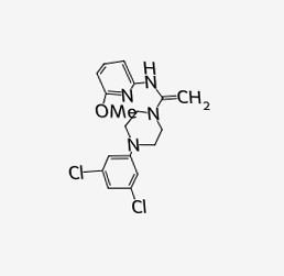 C=C(Nc1cccc(OC)n1)N1CCN(c2cc(Cl)cc(Cl)c2)CC1